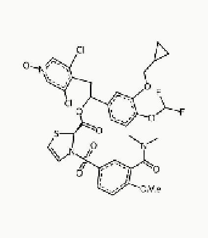 COc1ccc(S(=O)(=O)N2C=CS[C@H]2C(=O)OC(Cc2c(Cl)c[n+]([O-])cc2Cl)c2ccc(OC(F)F)c(OCC3CC3)c2)cc1C(=O)N(C)C